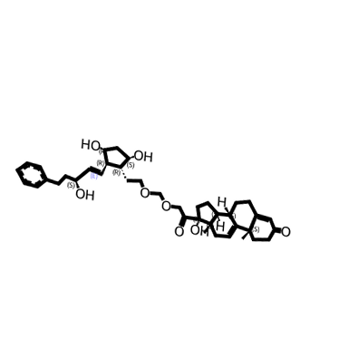 C[C@]12CCC(=O)C=C1CC[C@@H]1C2=CC[C@@]2(C)[C@H]1CC[C@]2(O)C(=O)COCOCC[C@@H]1[C@@H](/C=C/[C@@H](O)CCc2ccccc2)[C@H](O)C[C@@H]1O